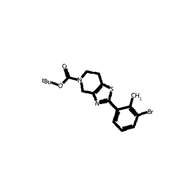 Cc1c(Br)cccc1-c1nc2c(s1)CCN(C(=O)OC(C)(C)C)C2